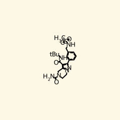 CC(C)(C)NC(=O)c1c(-c2cccc(CNS(C)(=O)=O)c2)nn2c1CN(C(N)=O)CC2